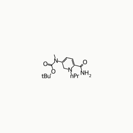 CCCN1CC(N(C)C(=O)OC(C)(C)C)=CC=C1C(N)=O